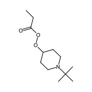 CCC(=O)OOC1CCN(C(C)(C)C)CC1